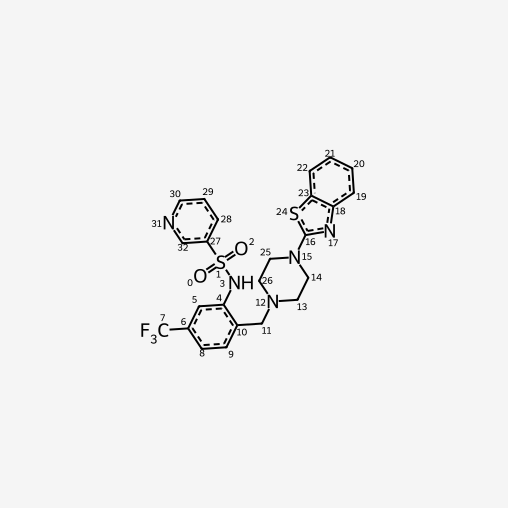 O=S(=O)(Nc1cc(C(F)(F)F)ccc1CN1CCN(c2nc3ccccc3s2)CC1)c1cccnc1